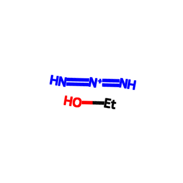 CCO.N=[N+]=N